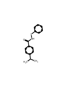 CC(C)c1ccc(C(=O)NSc2ccccc2)cc1